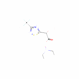 CCN(CC)OC(=O)C(O)c1nc(C(F)(F)F)ns1